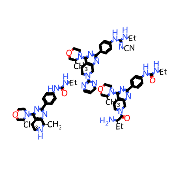 CCNC(=NC#N)Nc1ccc(-c2nc3c(c(N4CCOC[C@@H]4C)n2)CCN(c2ncccn2)C3)cc1.CCNC(=O)Nc1ccc(-c2nc3c(c(N4CCOC[C@@H]4C)n2)CCN(C(=O)[C@@H](N)CC)C3)cc1.CCNC(=O)Nc1ccc(-c2nc3c(c(N4CCOC[C@@H]4C)n2)CCN[C@H]3C)cc1